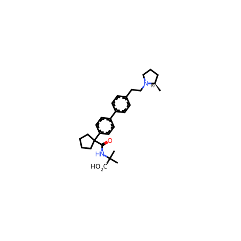 C[C@@H]1CCCN1CCc1ccc(-c2ccc(C3(C(=O)NC(C)(C)C(=O)O)CCCC3)cc2)cc1